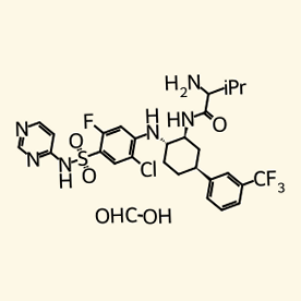 CC(C)C(N)C(=O)N[C@H]1C[C@@H](c2cccc(C(F)(F)F)c2)CC[C@@H]1Nc1cc(F)c(S(=O)(=O)Nc2ccncn2)cc1Cl.O=CO